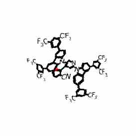 N#Cc1ccccc1-c1cc(-n2c3ccc(-c4cc(C(F)(F)F)cc(C(F)(F)F)c4)cc3c3cc(-c4cc(C(F)(F)F)cc(C(F)(F)F)c4)ccc32)ncc1-n1c2ccc(-c3cc(C(F)(F)F)cc(C(F)(F)F)c3)cc2c2cc(-c3cc(C(F)(F)F)cc(C(F)(F)F)c3)ccc21